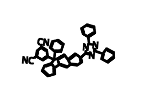 N#Cc1cc(C#N)cc(C2(c3ccccc3)c3ccccc3-c3cc4ccc(-c5nc(-c6ccccc6)nc(-c6ccccc6)n5)cc4cc32)c1